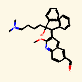 COc1nc2ccc(C=O)cc2cc1C(c1ccccc1)C(O)(CCCCN(C)C)c1ccccc1